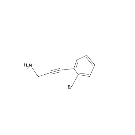 NCC#Cc1ccccc1Br